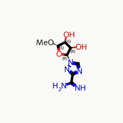 CO[C@H]1O[C@@H](n2cnc(C(=N)N)n2)[C@H](O)[C@@H]1O